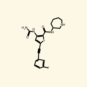 NC(=O)Nc1cc(C#Cc2cccc(F)c2)sc1C(=O)NC1CCCCNC1